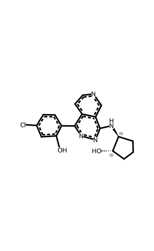 Oc1cc(Cl)ccc1-c1nnc(N[C@H]2CCC[C@@H]2O)c2cnccc12